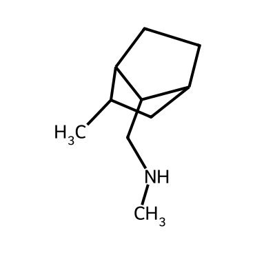 CNCC1C2CCC1C(C)C2